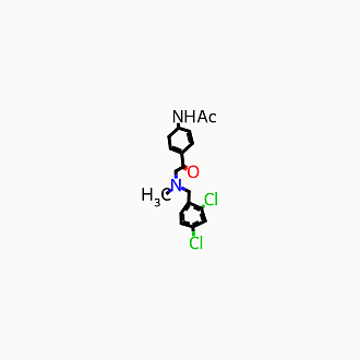 CC(=O)NC1C=CC(C(=O)CN(C)Cc2ccc(Cl)cc2Cl)=CC1